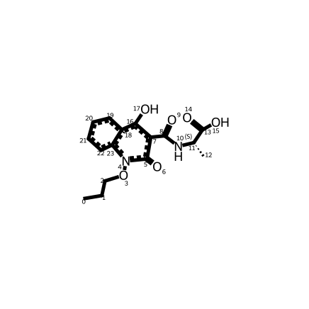 CCCOn1c(=O)c(C(=O)N[C@@H](C)C(=O)O)c(O)c2ccccc21